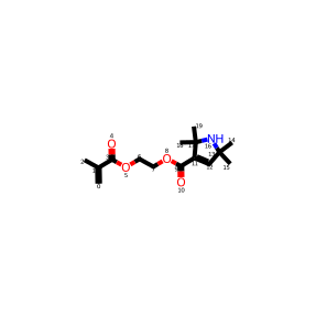 C=C(C)C(=O)OCCOC(=O)C1=CC(C)(C)NC1(C)C